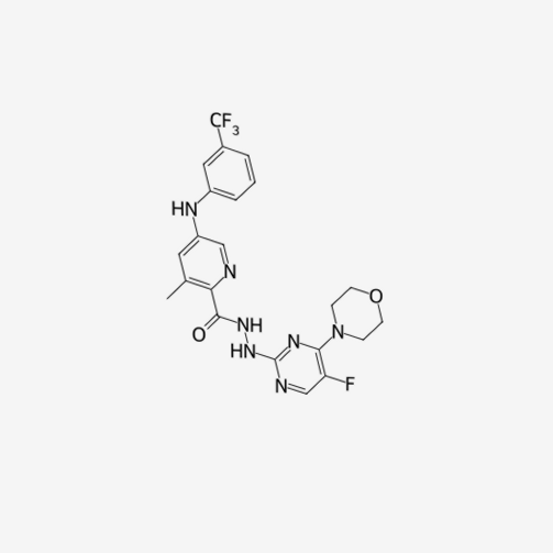 Cc1cc(Nc2cccc(C(F)(F)F)c2)cnc1C(=O)NNc1ncc(F)c(N2CCOCC2)n1